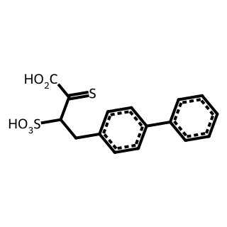 O=C(O)C(=S)C(Cc1ccc(-c2ccccc2)cc1)S(=O)(=O)O